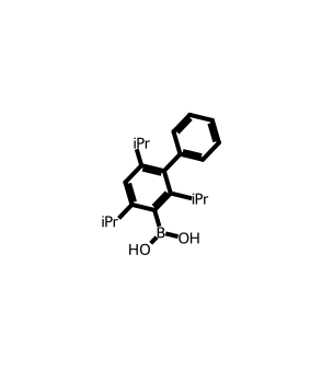 CC(C)c1cc(C(C)C)c(-c2ccccc2)c(C(C)C)c1B(O)O